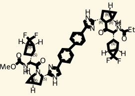 CCC(=O)NC(C(=O)C1[C@H](c2nc(-c3ccc(-c4ccc(-c5c[nH]c([C@@H]6C[C@H]7C[C@H]7N6C(=O)C(NC(=O)OC)[C@@H]6C[C@@H]7[C@H](C6)C7(F)F)n5)cc4)cc3)c[nH]2)C[C@H]2C[C@@H]12)[C@@H]1C[C@@H]2[C@H](C1)C2(F)F